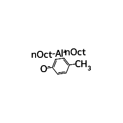 CCCCCCC[CH2][Al+][CH2]CCCCCCC.Cc1ccc([O-])cc1